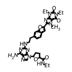 CCNC(=O)C1CCC(n2cnc3c(N)nc(NCCc4ccc5cc(-c6nc7c(c(=O)n(CC)c(=O)n7CC)n6C)oc5c4)nc32)O1